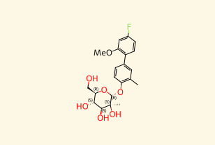 COc1cc(F)ccc1-c1ccc(O[C@H]2O[C@H](CO)[C@@H](O)[C@H](O)[C@]2(C)O)c(C)c1